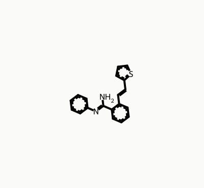 N/C(=N\c1ccccc1)c1ccccc1/C=C/c1cccs1